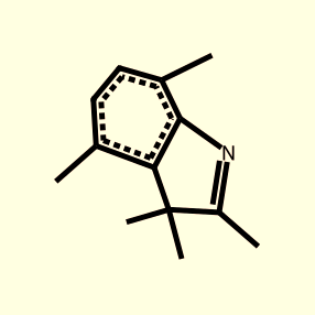 CC1=Nc2c(C)ccc(C)c2C1(C)C